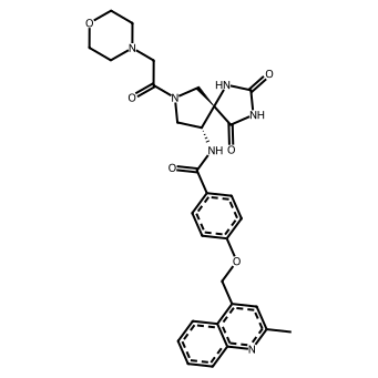 Cc1cc(COc2ccc(C(=O)N[C@@H]3CN(C(=O)CN4CCOCC4)C[C@]34NC(=O)NC4=O)cc2)c2ccccc2n1